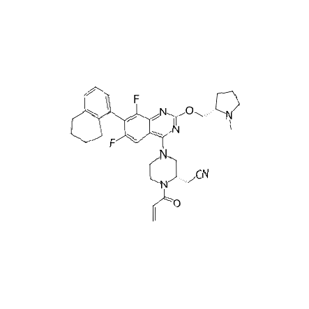 C=CC(=O)N1CCN(c2nc(OC[C@@H]3CCCN3C)nc3c(F)c(-c4cccc5c4CCCC5)c(F)cc23)C[C@@H]1CC#N